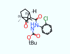 CC(C)(C)OC(=O)NN(C(=O)C1C(=O)[C@@]2(C)CC[C@@H]1C2(C)C)c1ccccc1Cl